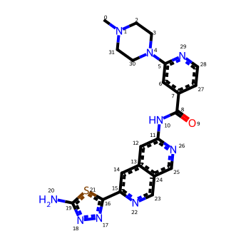 CN1CCN(c2cc(C(=O)Nc3cc4cc(-c5nnc(N)s5)ncc4cn3)ccn2)CC1